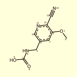 COc1cc(CNC(=O)O)cnc1C#N